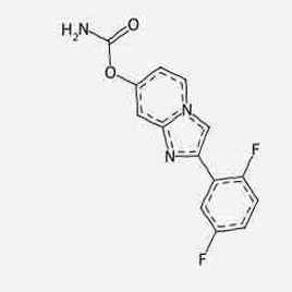 NC(=O)Oc1ccn2cc(-c3cc(F)ccc3F)nc2c1